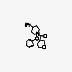 CC(C)C1CCN(C(=O)C2(Oc3ccccc3)CCOCC2)CC1